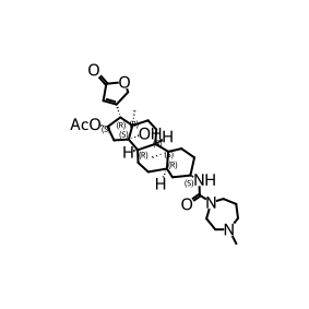 CC(=O)O[C@H]1C[C@]2(O)[C@@H]3CC[C@@H]4C[C@@H](NC(=O)N5CCCN(C)CC5)CC[C@]4(C)[C@H]3CC[C@]2(C)[C@H]1C1=CC(=O)OC1